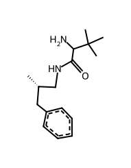 C[C@H](CNC(=O)C(N)C(C)(C)C)Cc1ccccc1